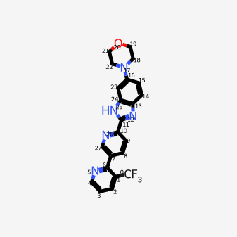 FC(F)(F)c1cccnc1-c1ccc(-c2nc3ccc(N4CCOCC4)cc3[nH]2)nc1